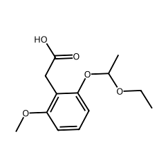 CCOC(C)Oc1cccc(OC)c1CC(=O)O